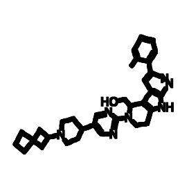 Cc1ccccc1-c1cc2c3c([nH]c2nn1)CCN(c1ncc(C2CCN(C4CC5(CCC5)C4)CC2)cn1)C3CO